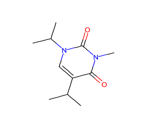 CC(C)c1cn(C(C)C)c(=O)n(C)c1=O